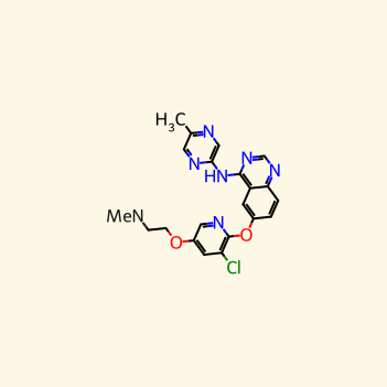 CNCCOc1cnc(Oc2ccc3ncnc(Nc4cnc(C)cn4)c3c2)c(Cl)c1